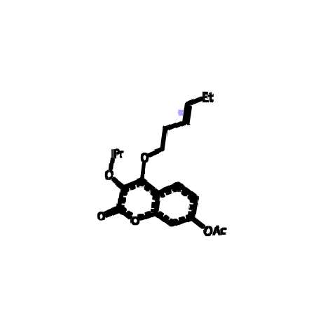 CC/C=C/CCOc1c(OC(C)C)c(=O)oc2cc(OC(C)=O)ccc12